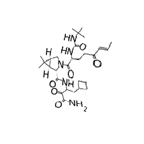 C/C=C/C(=O)CC[C@H](NC(=O)NC(C)(C)C)C(=O)N1C[C@H]2[C@@H]([C@H]1C(=O)NC(CC1CCC1)C(=O)C(N)=O)C2(C)C